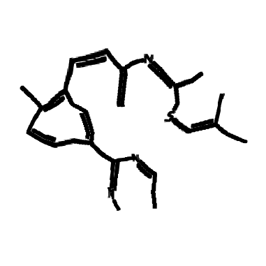 C=C(/C=C\c1cc(C(/N=C\C)=N/C)ccc1C)/N=C(/C)SC=C(C)C